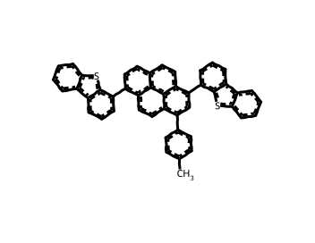 Cc1ccc(-c2cc(-c3cccc4c3sc3ccccc34)c3ccc4ccc(-c5cccc6c5sc5ccccc56)c5ccc2c3c45)cc1